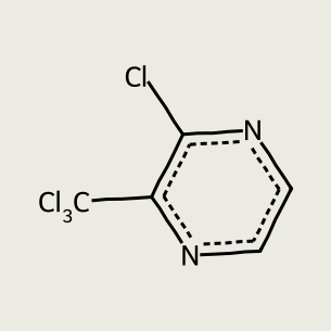 Clc1nccnc1C(Cl)(Cl)Cl